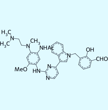 COc1cc(N(C)CCN(C)C)c(NC(C)=O)cc1Nc1nccc(-c2cn(Cc3cccc(C=O)c3O)c3ccccc23)n1